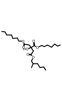 CCCCCCCOC(=O)CC(O)(CC(=O)OCC(C)CCCC)C(=O)OCCCCCCC